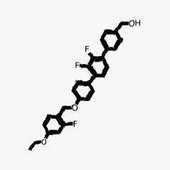 CCOc1ccc(COc2ccc(-c3ccc(-c4ccc(CO)cc4)c(F)c3F)cc2)c(F)c1